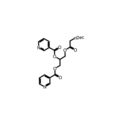 CCCCCCCCCCCC(=O)OCC(COC(=O)c1cccnc1)OC(=O)c1cccnc1